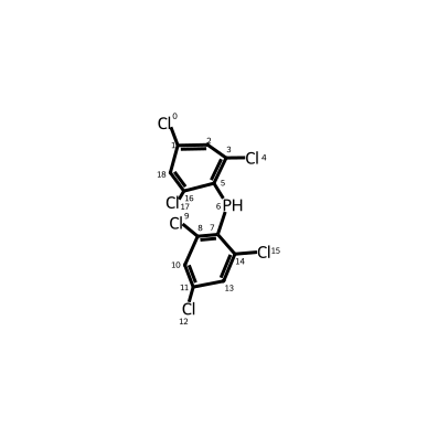 Clc1cc(Cl)c(Pc2c(Cl)cc(Cl)cc2Cl)c(Cl)c1